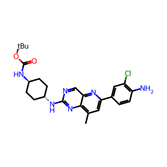 Cc1cc(-c2ccc(N)c(Cl)c2)nc2cnc(N[C@H]3CC[C@H](NC(=O)OC(C)(C)C)CC3)nc12